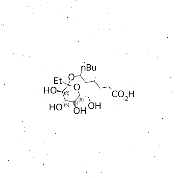 CCCCC(CCCCC(=O)O)OC1(CC)O[C@H](CO)[C@@H](O)[C@H](O)[C@H]1O